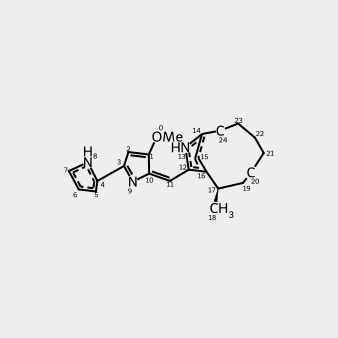 COC1=CC(c2ccc[nH]2)=NC1=Cc1[nH]c2cc1[C@H](C)CCCCCC2